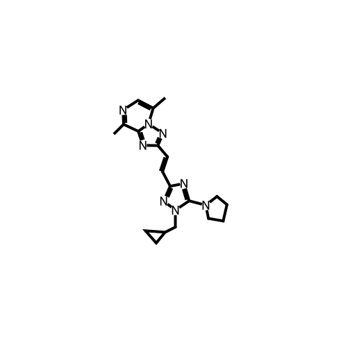 Cc1ncc(C)n2nc(C=Cc3nc(N4CCCC4)n(CC4CC4)n3)nc12